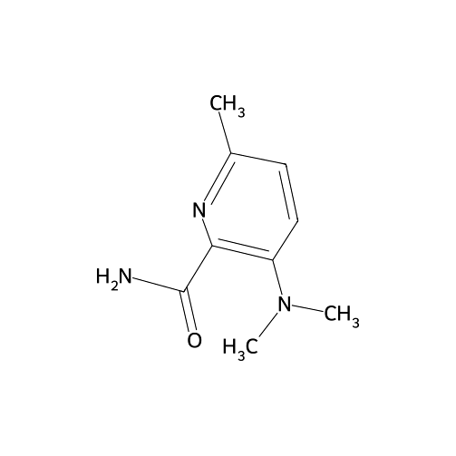 Cc1ccc(N(C)C)c(C(N)=O)n1